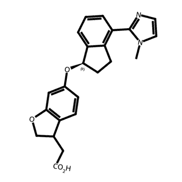 Cn1ccnc1-c1cccc2c1CC[C@H]2Oc1ccc2c(c1)OCC2CC(=O)O